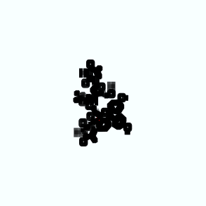 COc1ccc(C(O[C@@H]2C[C@H](n3cc(C)c(=O)[nH]c3=O)O[C@@H]2CO[PH](C)(O[C@@H]2C[C@H](n3cc(C)c(=O)[nH]c3=O)O[C@@H]2CO)O[Si](C)(C)C)(c2ccccc2)c2ccc(OC)cc2)cc1